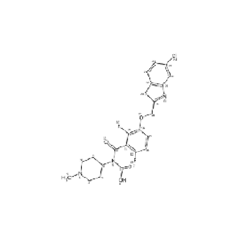 CN1CCC(N(C(=O)O)C(=O)c2c(F)ccc(OCc3nc4cc(Cl)ccc4s3)c2F)CC1